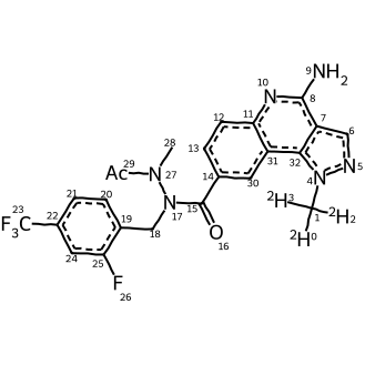 [2H]C([2H])([2H])n1ncc2c(N)nc3ccc(C(=O)N(Cc4ccc(C(F)(F)F)cc4F)N(C)C(C)=O)cc3c21